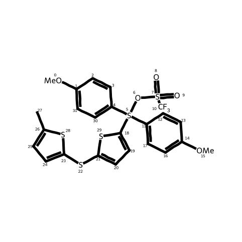 COc1ccc(S(OS(=O)(=O)C(F)(F)F)(c2ccc(OC)cc2)c2ccc(Sc3ccc(C)s3)s2)cc1